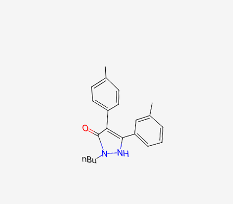 CCCCn1[nH]c(-c2cccc(C)c2)c(-c2ccc(C)cc2)c1=O